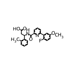 COc1ccc(F)c(-c2cccc(C(=O)NC(CC(=O)O)c3ccccc3C)n2)c1